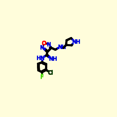 N=C(Nc1ccc(F)c(Cl)c1)c1nonc1CNCC1CCNC1